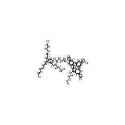 CCCCCCCC[B-](c1ccc(OC)cc1)(c1ccc(OC)cc1)c1ccc(OC)cc1.CCCCCCCC[P+](CCCCCCCC)(CCCCCCCC)CCCCCCCC